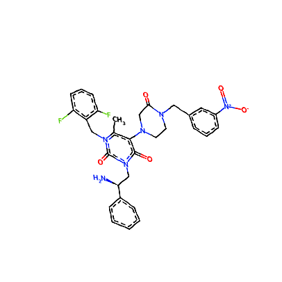 Cc1c(N2CCN(Cc3cccc([N+](=O)[O-])c3)C(=O)C2)c(=O)n(C[C@H](N)c2ccccc2)c(=O)n1Cc1c(F)cccc1F